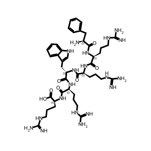 N=C(N)NCCC[C@H](NC(=O)[C@H](CCCNC(=N)N)NC(=O)[C@H](Cc1c[nH]c2ccccc12)NC(=O)[C@H](CCCNC(=N)N)NC(=O)[C@H](CCCNC(=N)N)NC(=O)[C@@H](N)Cc1ccccc1)C(=O)O